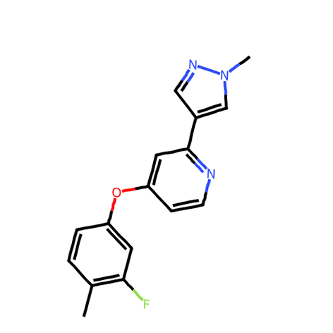 Cc1ccc(Oc2ccnc(-c3cnn(C)c3)c2)cc1F